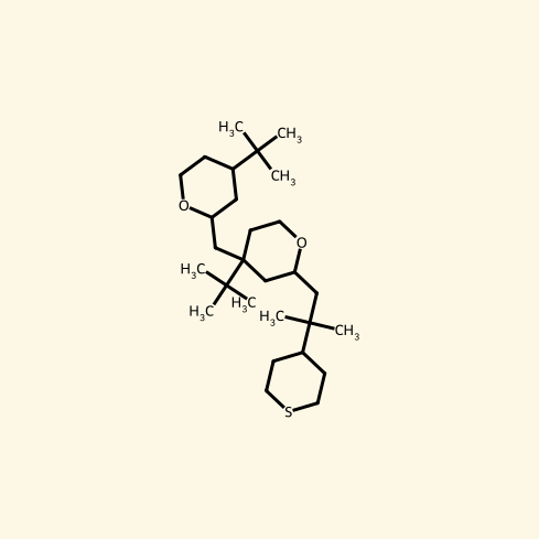 CC(C)(C)C1CCOC(CC2(C(C)(C)C)CCOC(CC(C)(C)C3CCSCC3)C2)C1